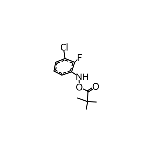 CC(C)(C)C(=O)ONc1cccc(Cl)c1F